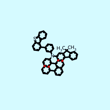 CC1(C)c2ccccc2-c2ccc(N(c3cccc(-c4cccc5sc6ccccc6c45)c3)c3ccccc3-c3cccc4cccc(-c5ccccc5)c34)cc21